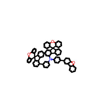 c1cc(-c2cccc3c2-c2ccccc2C32c3ccccc3Oc3ccccc32)cc(N(c2ccc(-c3ccc4oc5ccccc5c4c3)cc2)c2cccc3c2-c2ccccc2C32c3ccccc3Oc3ccccc32)c1